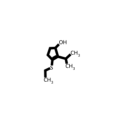 CCSC1=C(C(C)C)C(O)CC1